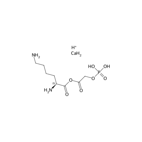 NCCCC[C@H](N)C(=O)OC(=O)COP(=O)(O)O.[CaH2].[H+]